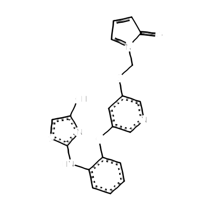 Cc1csc(Nc2ccccc2Oc2cncc(SC[N+]3=CC=CC3=O)c2)n1